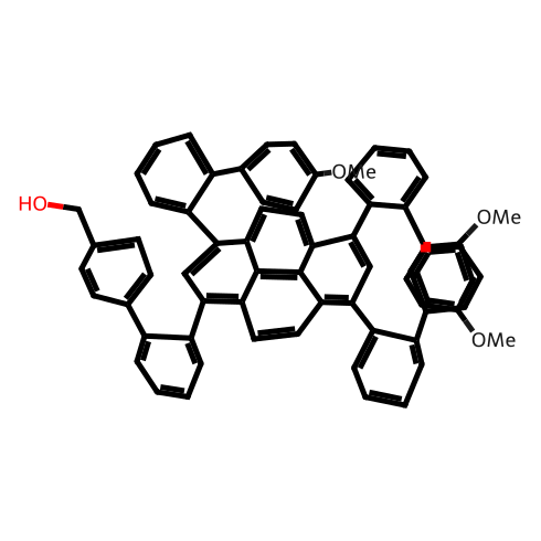 COc1ccc(-c2ccccc2-c2cc(-c3ccccc3-c3ccc(CO)cc3)c3ccc4c(-c5ccccc5-c5ccc(OC)cc5)cc(-c5ccccc5-c5ccc(OC)cc5)c5ccc2c3c45)cc1